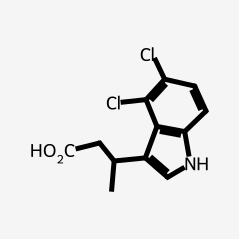 CC(CC(=O)O)c1c[nH]c2ccc(Cl)c(Cl)c12